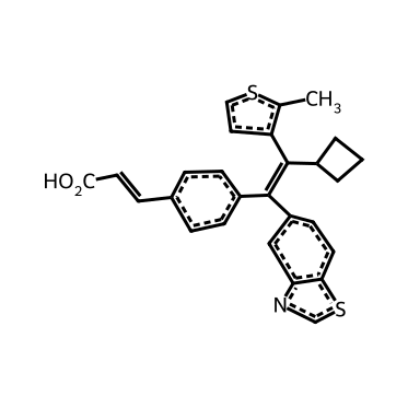 Cc1sccc1C(=C(c1ccc(C=CC(=O)O)cc1)c1ccc2scnc2c1)C1CCC1